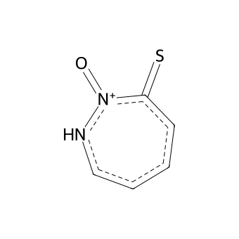 O=[n+]1[nH]ccccc1=S